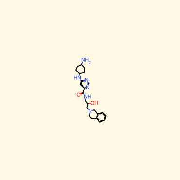 NC1CCC(Nc2cc(C(=O)NCC(O)CN3CCc4ccccc4C3)ncn2)CC1